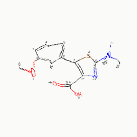 COc1cccc(-c2sc(N(C)C)nc2C(=O)O)c1